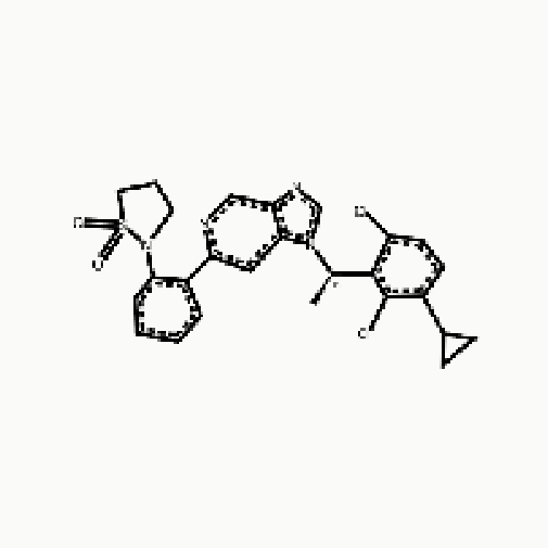 C[C@H](c1c(Cl)ccc(C2CC2)c1Cl)n1cnc2cnc(-c3ccccc3N3CCCS3(=O)=O)cc21